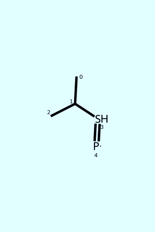 CC(C)[SH]=[P]